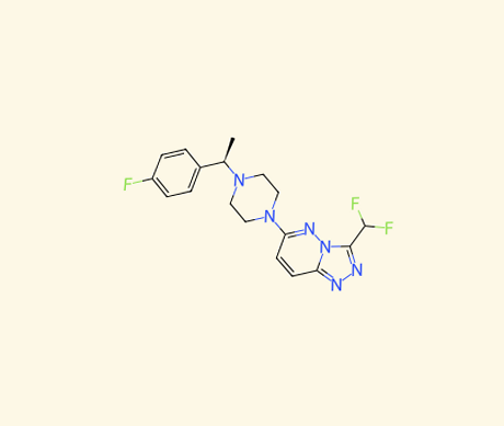 C[C@H](c1ccc(F)cc1)N1CCN(c2ccc3nnc(C(F)F)n3n2)CC1